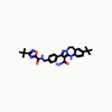 CC(C)(C)c1ccc2c(c1)CCn1nc(-c3ccc(CNC(=O)c4nc(C(C)(C)C)no4)cc3)c(C(N)=O)c1N2